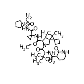 C=C[C@@H]1C[C@]1(NC(=O)C1C[C@@]2(CN1C(=O)[C@@H](NC(=O)C1CCCNC1=O)C(C)(C)C)C(C)(C)C21CCC1)C(=O)NS(=C)(=O)N1CCCC1